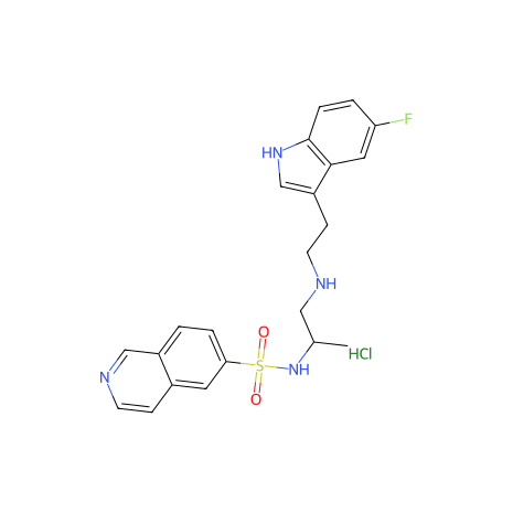 CC(CNCCc1c[nH]c2ccc(F)cc12)NS(=O)(=O)c1ccc2cnccc2c1.Cl